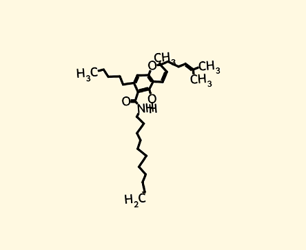 C=CCCCCCCCCCNC(=O)c1c(CCCCC)cc2c(c1O)C=CC(C)(CCC=C(C)C)O2